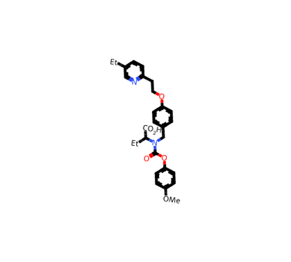 CCc1ccc(CCOc2ccc(CN(C(=O)Oc3ccc(OC)cc3)C(CC)C(=O)O)cc2)nc1